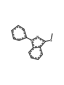 CSc1nn(-c2ccccc2)c2c[c]ccc12